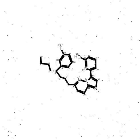 CCCC[C@@H](CCCc1ccc2ncc(-c3cccc(O)n3)n2n1)c1cccc(F)c1